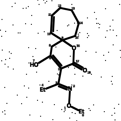 CCON=C(CC)C1=C(O)CC2(C=CCCCC2)OC1=O